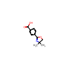 CC1(C)COC(c2ccc(C(=O)O)cc2)=N1